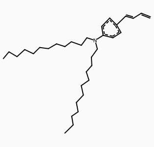 C=CC=Cc1ccc(N(CCCCCCCCCCCC)CCCCCCCCCCCC)cc1